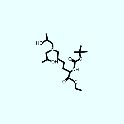 CCOC(=O)C(CCCCN(CC(C)O)CC(C)O)NC(=O)OC(C)(C)C